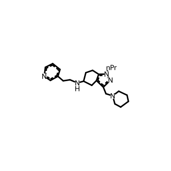 CCCn1nc(CN2CCCCC2)c2c1CCC(NCCc1cccnc1)C2